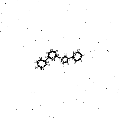 c1ccc(-c2cnn(-c3cccc(-c4cccnc4)n3)c2)nc1